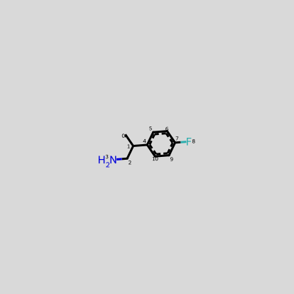 [CH2]C(CN)c1ccc(F)cc1